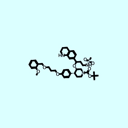 COc1ccccc1COCCCOc1ccc([C@H]2CCN(C(=O)OC(C)(C)C)C[C@@H]2OC(CCNS(C)(=O)=O)c2ccc3c(c2)NCCC3)cc1